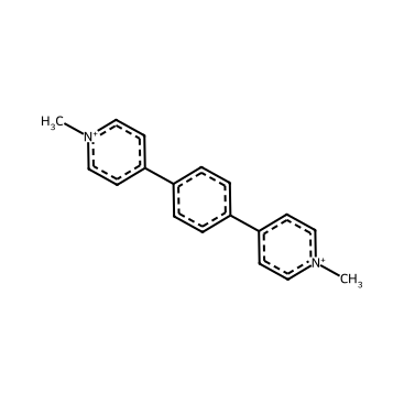 C[n+]1ccc(-c2ccc(-c3cc[n+](C)cc3)cc2)cc1